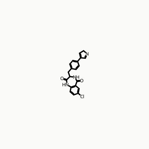 O=C1NC(Cc2ccc(C3=CCN=C3)cc2)C(=O)Nc2ccc(Cl)cc21